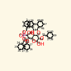 O=P(OCc1ccccc1)(OCc1ccccc1)C(O)[C@H](OCc1ccccc1)[C@H]1OC(O)[C@@H](OCc2ccccc2)[C@@H](OCc2ccccc2)[C@@H]1OCc1ccccc1